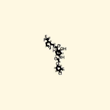 CN1CCC(C(F)(F)F)CC1CNC(=O)C12CCC(NC(=O)COc3ccc(Cl)c(F)c3)(CC1)CC2O